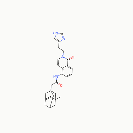 CC12C=C3CC(C1)CC(CC(=O)Nc1cccc4c(=O)n(CCc5c[nH]cn5)ccc14)(C3)C2